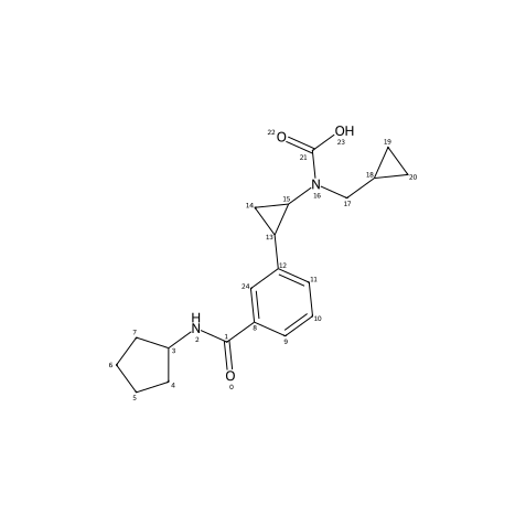 O=C(NC1CCCC1)c1cccc(C2CC2N(CC2CC2)C(=O)O)c1